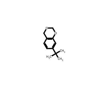 CC(C)(C)c1ccc2c(c1)OCOC2